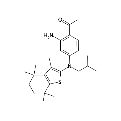 CC(=O)c1ccc(N(CC(C)C)c2sc3c(c2C)C(C)(C)CCC3(C)C)cc1N